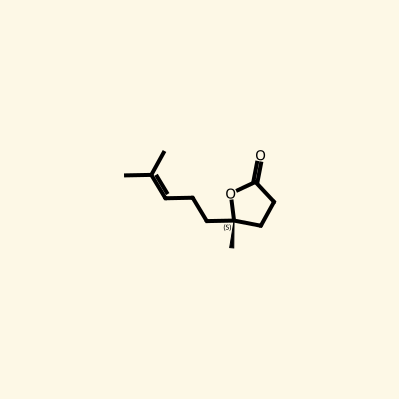 CC(C)=CCC[C@@]1(C)CCC(=O)O1